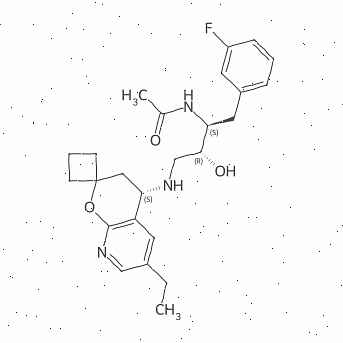 CCc1cnc2c(c1)[C@@H](NC[C@@H](O)[C@H](Cc1cccc(F)c1)NC(C)=O)CC1(CCC1)O2